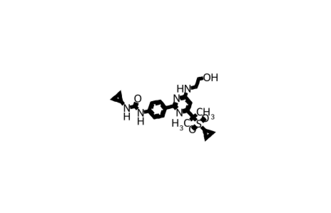 CC(C)(c1cc(NCCO)nc(-c2ccc(NC(=O)NC3CC3)cc2)n1)S(=O)(=O)C1CC1